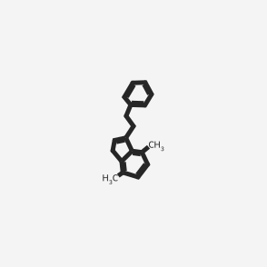 Cc1ccc(C)c2c1CC=C2CCc1ccccc1